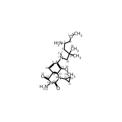 COC[C@@H](N)[C@H]1CN(c2ccc3c(=O)n(N)c(=O)n(C4CC4)c3c2OC)CC1(C)C